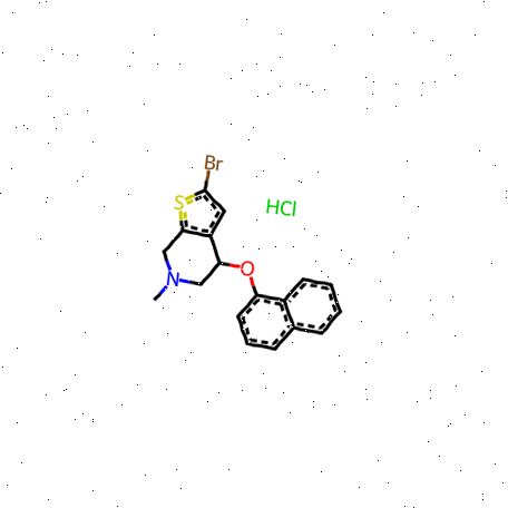 CN1Cc2sc(Br)cc2C(Oc2cccc3ccccc23)C1.Cl